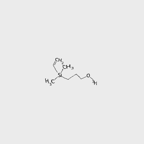 [3H]OCCC[Si](C)(C)C=C